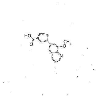 COc1cc(-c2cccc(C(=O)O)c2)cc2cccnc12